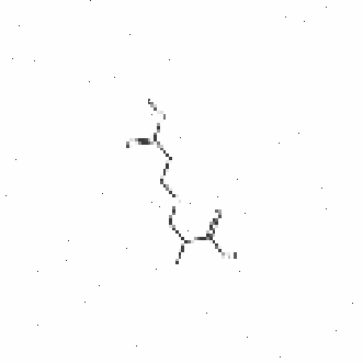 COC(=O)CCSCC(C)C(=O)O